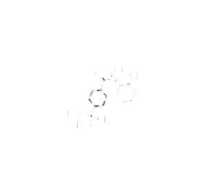 CCN(C(=O)c1ccc(C(C)(O)C(F)(F)F)cc1)C1CCCCC1C